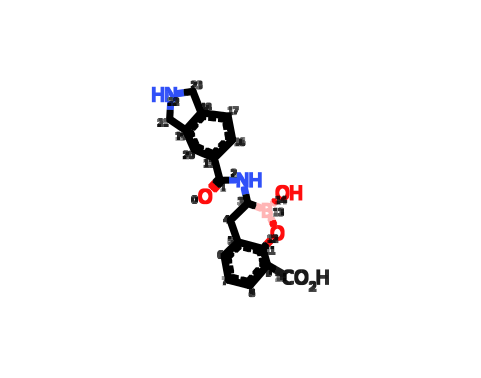 O=C(NC1Cc2cccc(C(=O)O)c2OB1O)c1ccc2c(c1)CNC2